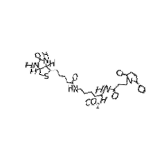 O=C(CCCC[C@@H]1SC[C@@H]2NC(=O)N[C@@H]21)NCCCC[C@@H](NC(=O)CCN1C(=O)C=CC1=O)C(=O)O